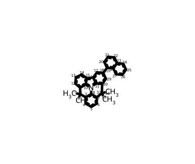 CC1(C)c2cccc3c2-n2c4c1cccc4c1cc(-c4cccc5ccccc45)cc(c12)C3(C)C